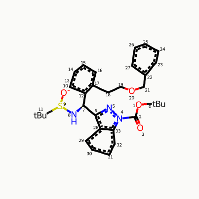 CC(C)(C)OC(=O)n1nc([C@@H](N[S+]([O-])C(C)(C)C)c2ccccc2CCOCc2ccccc2)c2ccccc21